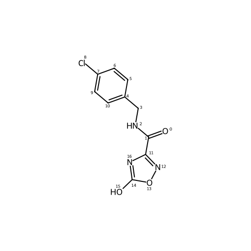 O=C(NCc1ccc(Cl)cc1)c1noc(O)n1